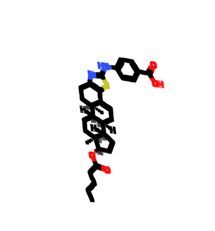 CCCCC(=O)O[C@H]1CC[C@H]2[C@@H]3CC=C4c5sc(Nc6ccc(C(=O)O)cc6)nc5CC[C@]4(C)[C@H]3CC[C@]12C